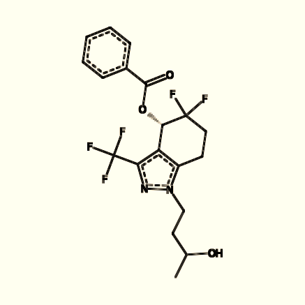 CC(O)CCn1nc(C(F)(F)F)c2c1CCC(F)(F)[C@H]2OC(=O)c1ccccc1